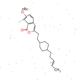 C/C=C/CCC1CCC(CCc2cc3ccc(OCCCC)c(F)c3c(=O)o2)CC1